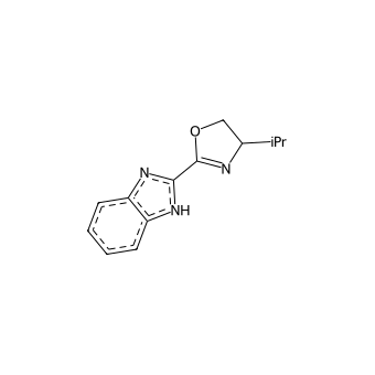 CC(C)C1COC(c2nc3ccccc3[nH]2)=N1